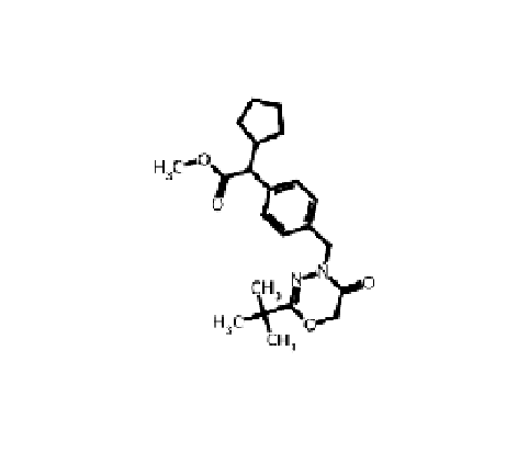 COC(=O)C(c1ccc(CN2N=C(C(C)(C)C)OCC2=O)cc1)C1CCCC1